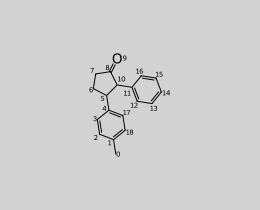 Cc1ccc(C2CCC(=O)C2c2ccccc2)cc1